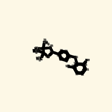 CC1(C)OB(c2ccc(Oc3c(F)cccc3F)cc2)OC1(C)C